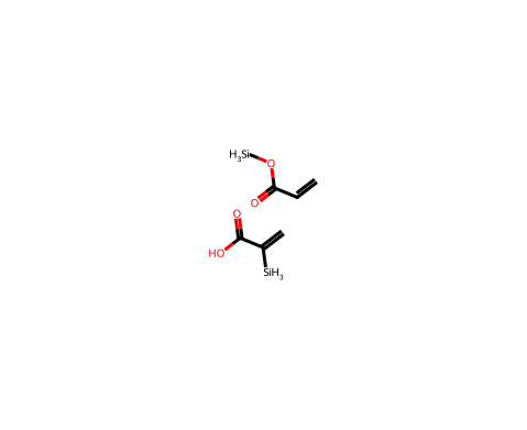 C=C([SiH3])C(=O)O.C=CC(=O)O[SiH3]